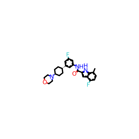 Cc1ccc(F)c2cc(C(=O)Nc3cc(F)cc([C@H]4CC[C@H](N5CCOCC5)CC4)c3)[nH]c12